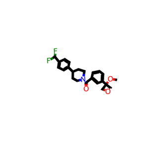 COC1(c2cccc(C(=O)N3CCC(c4ccc(C(F)F)cc4)CC3)c2)COC1